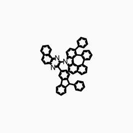 c1ccc(-c2ccc3c4c2-c2ccccc2-c2cccc5ccc(c4c25)n3-c2nc3c(ccc4ccccc43)nc2-c2ccc3c(c2)-c2ccccc2C3c2ccccc2)cc1